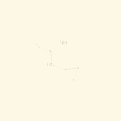 N=C(N)NC1CC1F